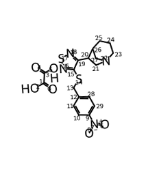 O=C(O)C(=O)O.O=[N+]([O-])c1ccc(CSc2nsnc2C2CN3CCCC2C3)cc1